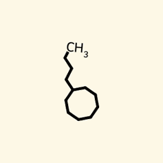 CCCCC1CCCCCCC1